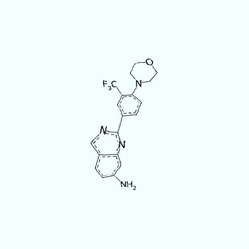 Nc1ccc2cnc(-c3ccc(N4CCOCC4)c(C(F)(F)F)c3)nc2c1